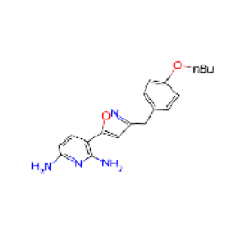 CCCCOc1ccc(Cc2cc(-c3ccc(N)nc3N)on2)cc1